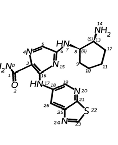 NC(=O)c1ncc(N[C@@H]2CCCC[C@@H]2N)nc1Nc1cnc2scnc2c1